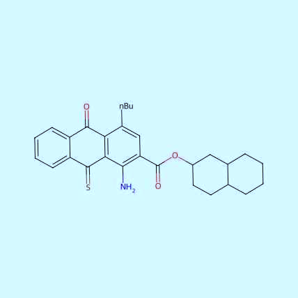 CCCCc1cc(C(=O)OC2CCC3CCCCC3C2)c(N)c2c1C(=O)c1ccccc1C2=S